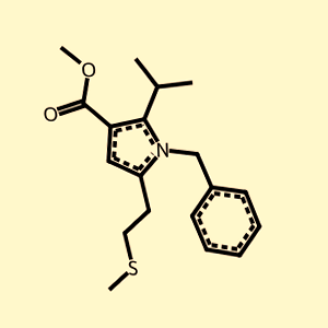 COC(=O)c1cc(CCSC)n(Cc2ccccc2)c1C(C)C